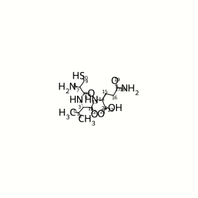 CC(C)[C@H](NC(=O)[C@@H](N)CS)C(=O)N[C@@H](CCC(N)=O)C(=O)O